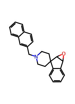 c1ccc2c(c1)C1OC1C21CCN(Cc2ccc3ccccc3c2)CC1